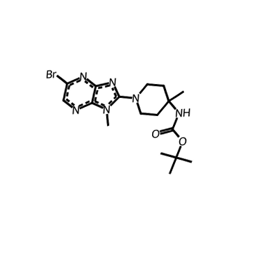 Cn1c(N2CCC(C)(NC(=O)OC(C)(C)C)CC2)nc2nc(Br)cnc21